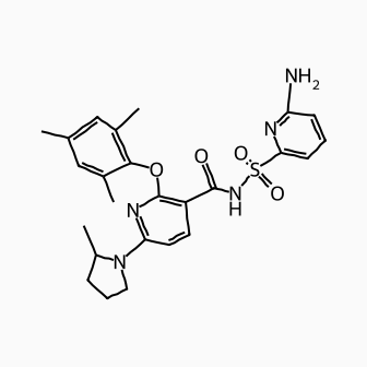 Cc1cc(C)c(Oc2nc(N3CCCC3C)ccc2C(=O)NS(=O)(=O)c2cccc(N)n2)c(C)c1